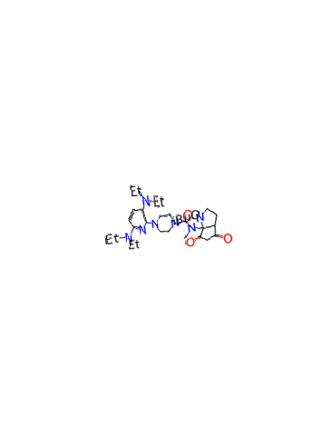 CCN(CC)c1ccc(N(CC)CC)c(N2CCN(C(=O)N(C)C34C(=O)CC(=O)C3CCN4OCC(C)C)CC2)n1